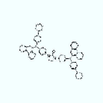 O=C1N(c2ccc(N(c3ccc(-c4ccccc4)cc3)c3cc4ccccc4c4ccccc34)cc2)CCN1c1ccc(N(c2ccc(-c3ccccc3)cc2)c2cc3ccccc3c3ccccc23)cc1